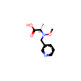 CON(Cc1cccnc1)[C@@H](C)C(=O)O